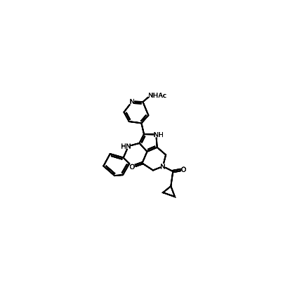 CC(=O)Nc1cc(-c2[nH]c3c(c2Nc2ccccc2)C(=O)CN(C(=O)C2CC2)C3)ccn1